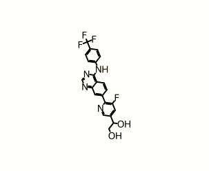 OCC(O)c1cnc(-c2ccc3c(Nc4ccc(C(F)(F)F)cc4)ncnc3c2)c(F)c1